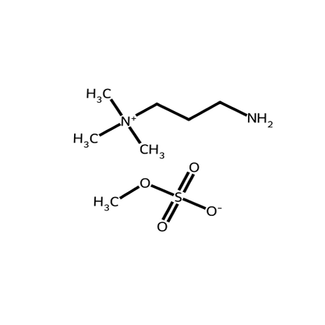 COS(=O)(=O)[O-].C[N+](C)(C)CCCN